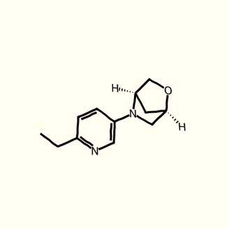 CCc1ccc(N2C[C@H]3C[C@@H]2CO3)cn1